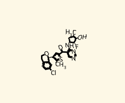 Cc1sc(C(=O)c2cncnc2N[C@@H]2C[C@@H](C)[C@@H](O)[C@@H]2F)cc1[C@@H]1OCCc2ccc(Cl)cc21